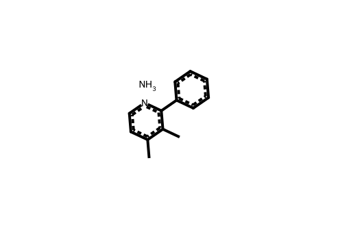 Cc1ccnc(-c2ccccc2)c1C.N